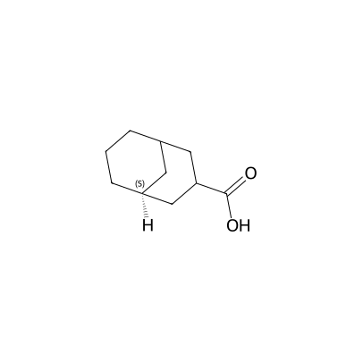 O=C(O)C1CC2CCC[C@@H](C2)C1